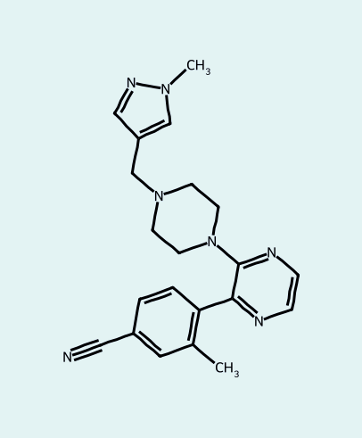 Cc1cc(C#N)ccc1-c1nccnc1N1CCN(Cc2cnn(C)c2)CC1